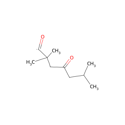 CC(C)CC(=O)CC(C)(C)[C]=O